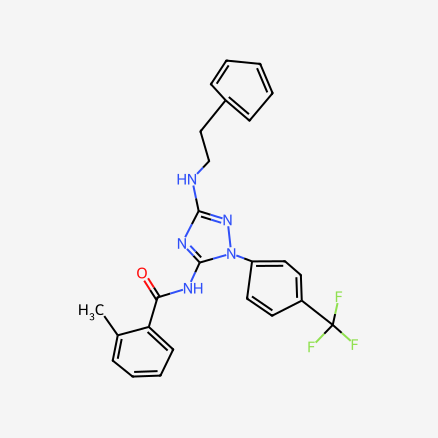 Cc1ccccc1C(=O)Nc1nc(NCCc2ccccc2)nn1-c1ccc(C(F)(F)F)cc1